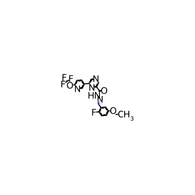 CCOc1ccc(F)c(/C=N/NC(=O)c2cncc(-c3ccc(OC(F)(F)F)nc3)n2)c1